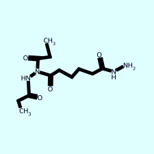 CCC(=O)NN(C(=O)CC)C(=O)CCCCC(=O)NN